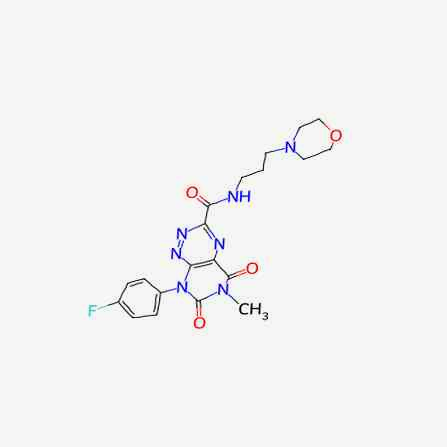 Cn1c(=O)c2nc(C(=O)NCCCN3CCOCC3)nnc2n(-c2ccc(F)cc2)c1=O